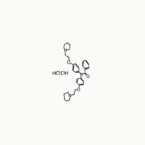 Cl.Cl.O=C(c1ccccc1)N(c1ccc(OCCN2CCCCC2)cc1)c1ccc(OCCN2CCCCC2)cc1